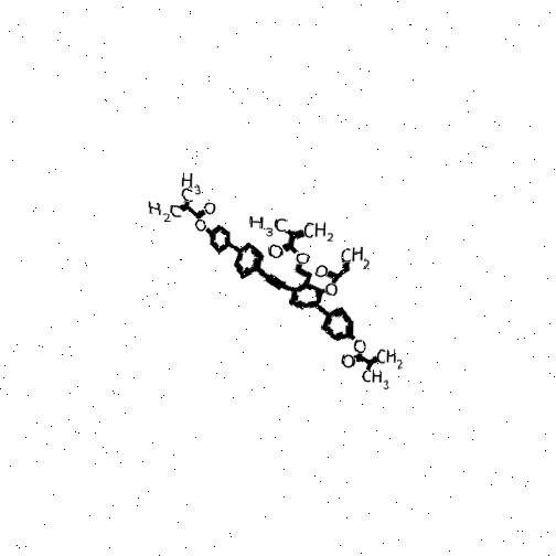 C=CC(=O)Oc1c(-c2ccc(OC(=O)C(=C)C)cc2)ccc(C#Cc2ccc(-c3ccc(OC(=O)C(=C)C)cc3)cc2)c1/C=C/OC(=O)C(=C)C